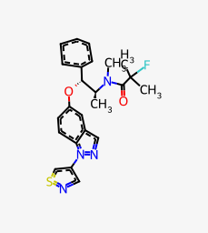 C[C@@H]([C@H](Oc1ccc2c(cnn2-c2cnsc2)c1)c1ccccc1)N(C)C(=O)C(C)(C)F